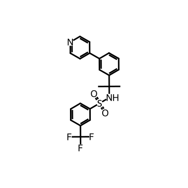 CC(C)(NS(=O)(=O)c1cccc(C(F)(F)F)c1)c1cccc(-c2ccncc2)c1